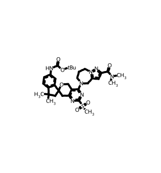 CN(C)C(=O)c1cc2n(n1)CCCN(c1nc(S(C)(=O)=O)nc3c1COC1(C3)CC(C)(C)c3ccc(NC(=O)OC(C)(C)C)cc31)C2